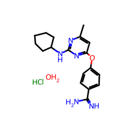 Cc1cc(Oc2ccc(C(=N)N)cc2)nc(NC2CCCCC2)n1.Cl.O